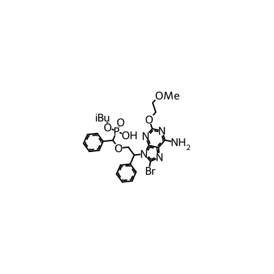 CCC(C)OP(=O)(O)C(OCC(c1ccccc1)n1c(Br)nc2c(N)nc(OCCOC)nc21)c1ccccc1